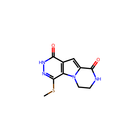 CSc1n[nH]c(=O)c2cc3n(c12)CCNC3=O